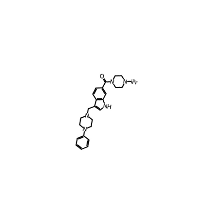 CC(C)N1CCN(C(=O)c2ccc3c(CN4CCN(c5ccccc5)CC4)c[nH]c3c2)CC1